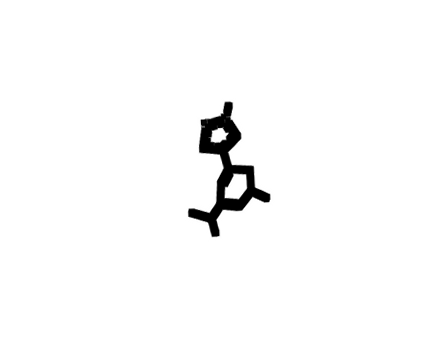 CC1C=C(C(C)C)C=C(c2cnn(C)c2)C1